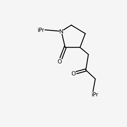 CC(C)CC(=O)CC1CCN(C(C)C)C1=O